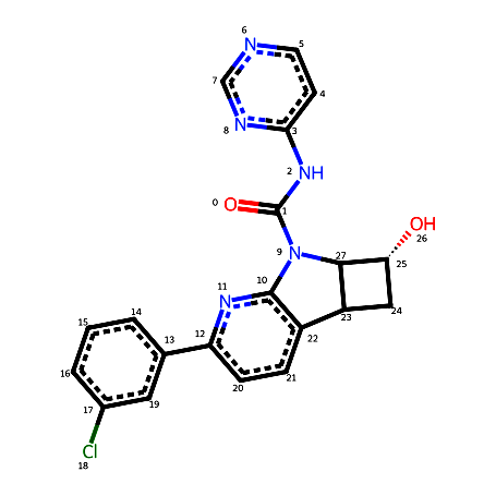 O=C(Nc1ccncn1)N1c2nc(-c3cccc(Cl)c3)ccc2C2C[C@@H](O)C21